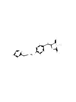 O=C1NC(=O)C(Cc2ccc(OCCc3cccs3)cc2)S1